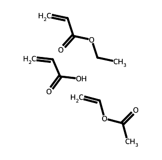 C=CC(=O)O.C=CC(=O)OCC.C=COC(C)=O